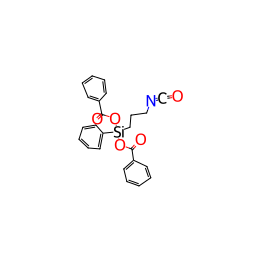 O=C=NCCC[Si](OC(=O)c1ccccc1)(OC(=O)c1ccccc1)c1ccccc1